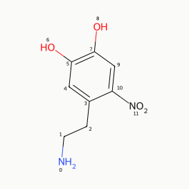 NCCc1cc(O)c(O)cc1[N+](=O)[O-]